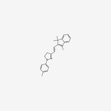 Cc1ccc(N2CCC(/C=C/C3=[N+](C)c4ccccc4C3(C)C)=N2)cc1